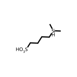 C[SiH](C)CCCCS(=O)(=O)O